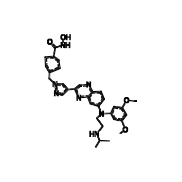 COc1cc(OC)cc(N(CCNC(C)C)c2ccc3ncc(-c4cnn(Cc5ccc(C(=O)NO)cc5)c4)nc3c2)c1